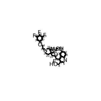 COc1ccc2ncc(CO)c([C@H](F)CCC3(C(=O)NO)CCN(CCOc4cc(F)c(F)c(F)c4)CC3)c2c1